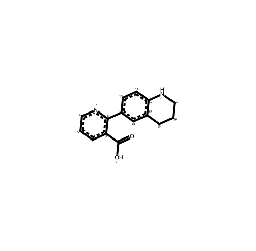 O=C(O)c1cccnc1-c1ccc2c(c1)CCCN2